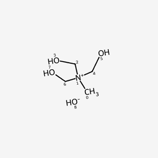 C[N+](CO)(CO)CO.[OH-]